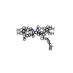 COc1ccc2c(OS(=O)(=O)Oc3cc(C(=O)N(C)CC(C)(C)COCC(C)(C)CN=[N+]=[N-])ccc3OC3O[C@H](CO)[C@H](O)C(O)C3O)cc3c(c2c1)/C(=C/Cl)CN3C(=O)c1cc2cc(C(C)=O)c(OC3O[C@H](CO)[C@H](O)C(O)[C@H]3O)cc2[nH]1